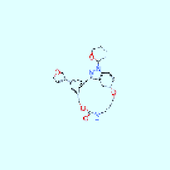 O=C1NCCCOc2ccc3c(c2)c(nn3C2CCCCO2)-c2cc(cc(C3=CCOC3)c2)CO1